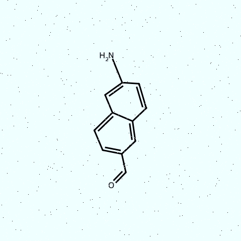 Nc1ccc2cc(C=O)ccc2c1